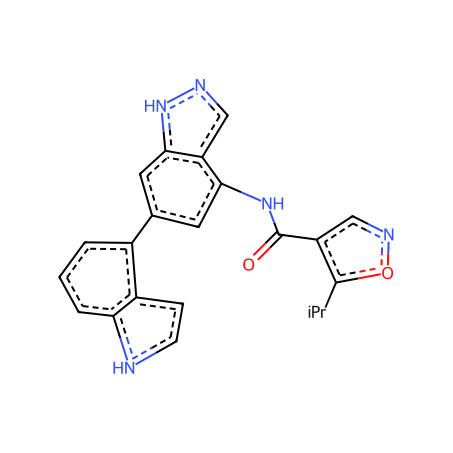 CC(C)c1oncc1C(=O)Nc1cc(-c2cccc3[nH]ccc23)cc2[nH]ncc12